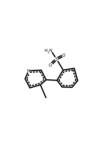 Cc1ccncc1-c1ccccc1S(N)(=O)=O